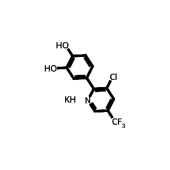 Oc1ccc(-c2ncc(C(F)(F)F)cc2Cl)cc1O.[KH]